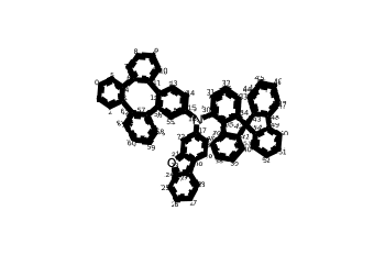 c1ccc2c(c1)-c1ccccc1-c1ccc(N(c3ccc4c(c3)oc3ccccc34)c3cccc4c3-c3ccccc3C43c4ccccc4-c4ccccc43)cc1-c1ccccc1-2